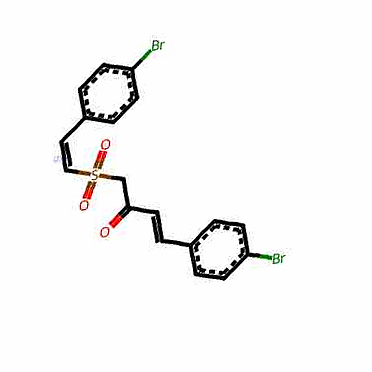 O=C(C=Cc1ccc(Br)cc1)CS(=O)(=O)/C=C\c1ccc(Br)cc1